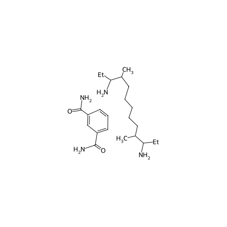 CCC(N)C(C)CCCCCC(C)C(N)CC.NC(=O)c1cccc(C(N)=O)c1